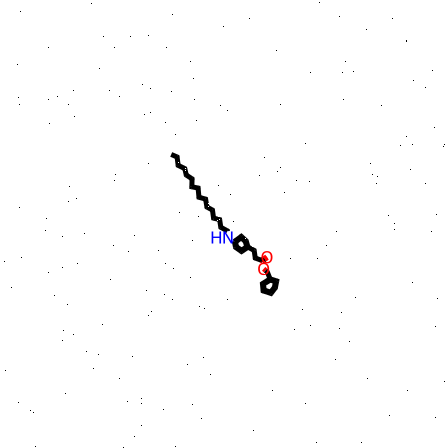 CCCCCCCCCCCCCCCCNc1ccc(CCC(=O)OCc2ccccc2)cc1